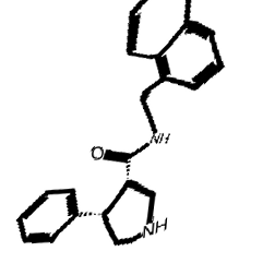 O=C(NCc1cccc2cnccc12)[C@@H]1CNC[C@@H]1c1ccccc1